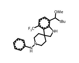 COC(c1ccc(C(F)(F)F)c2c1NCC21CCN(Nc2ccccc2)CC1)C(C)(C)C